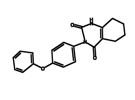 O=c1[nH]c2c(c(=O)n1-c1ccc(Oc3ccccc3)cc1)CCCC2